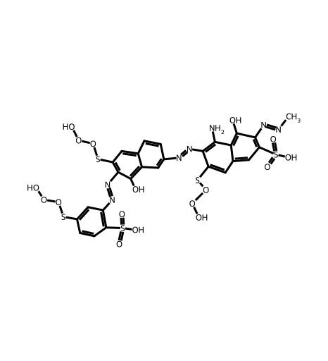 CN=Nc1c(S(=O)(=O)O)cc2cc(SOOO)c(N=Nc3ccc4cc(SOOO)c(N=Nc5cc(SOOO)ccc5S(=O)(=O)O)c(O)c4c3)c(N)c2c1O